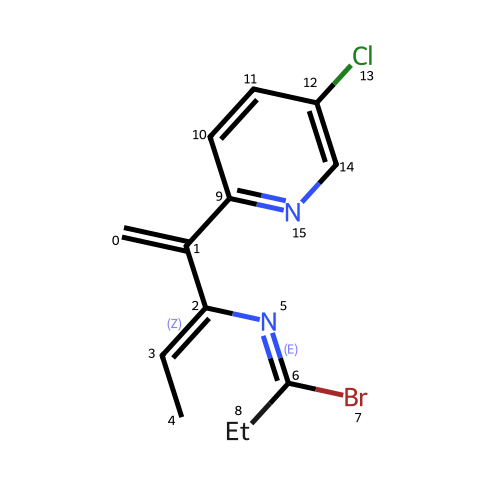 C=C(C(=C/C)/N=C(/Br)CC)c1ccc(Cl)cn1